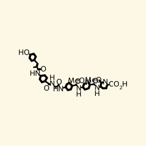 COc1nc(C(=O)Nc2ccc(C(=O)O)nc2OC)ccc1NC(=O)c1ccc(NC(=O)CNC(=O)c2ccc(NC(=O)/C(C)=C/c3ccc(O)cc3)cc2)cc1